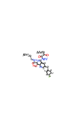 CNC(=O)C(=O)Nc1nc(C(=O)NCCOC)c(O)c2ncc(Cc3ccc(F)cc3)cc12